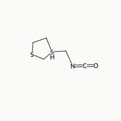 O=C=NC[SH]1CCSC1